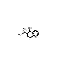 CC(C)C1CCc2ncccc2C1O